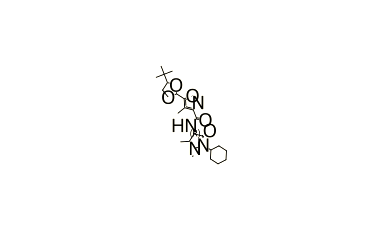 Cc1c(C(=O)N[C@H]2C(=O)N(C3CCCCC3)N(C)C2C)noc1C1OCC(C(C)(C)C)O1